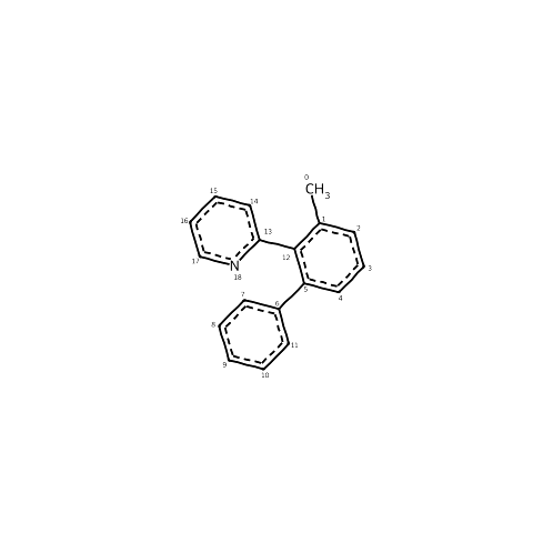 Cc1cccc(-c2ccccc2)c1-c1ccccn1